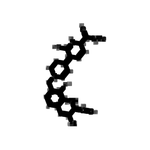 CCC1=Cc2ccc(CN3C=CC(=C4C=CC(C(=O)NC)N=C4F)CC3)c(F)c2NC1=C=O